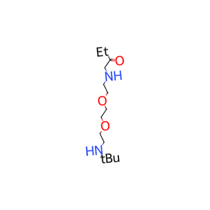 CCC(=O)CNCCOCCOCCNC(C)(C)C